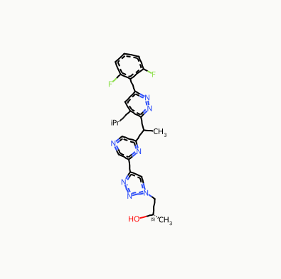 CC(C)c1cc(-c2c(F)cccc2F)nnc1C(C)c1cncc(-c2cn(C[C@H](C)O)nn2)n1